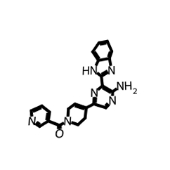 Nc1ncc(C2=CCN(C(=O)c3cccnc3)CC2)nc1-c1nc2ccccc2[nH]1